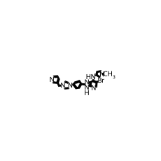 CN1CC[C@H](Nc2c(Br)cnc3[nH]c(-c4ccc(N5CCN(Cc6cccnc6)CC5)cc4)nc23)C1